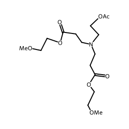 COCCOC(=O)CCN(CCOC(C)=O)CCC(=O)OCCOC